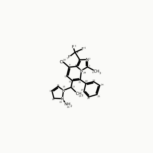 Cc1nc(C(F)(F)F)c2c(Cl)cc(C(C)N3C=CCN3N)c(-c3ccccc3)n12